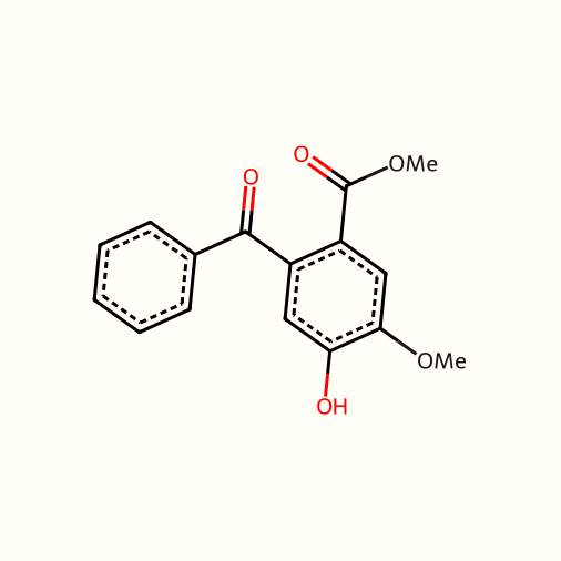 COC(=O)c1cc(OC)c(O)cc1C(=O)c1ccccc1